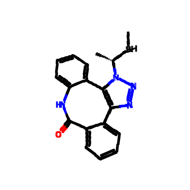 CB[C@@H](C)n1nnc2c1-c1ccccc1NC(=O)c1ccccc1-2